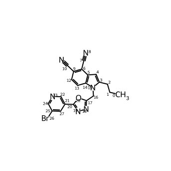 CCCc1cc2c(C#N)c(C#N)ccc2n1Cc1nnc(-c2cncc(Br)c2)o1